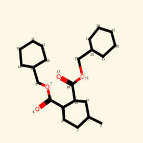 CC1CCC(C(=O)OCC2CCCCC2)C(C(=O)OCC2CCCCC2)C1